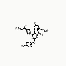 CCC(CN)=C1CN(c2nc(Sc3ccc(Br)cn3)nc3[nH]c4c(NC)cc(F)cc4c23)C1